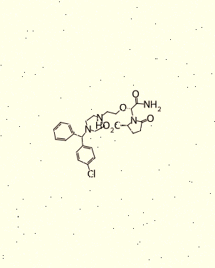 NC(=O)[C@@H](OCCN1CCN(C(c2ccccc2)c2ccc(Cl)cc2)CC1)N1C(=O)CC[C@H]1C(=O)O